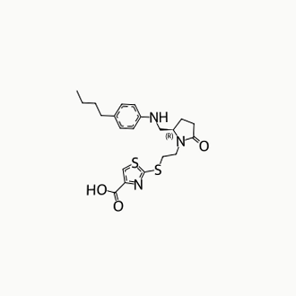 CCCCc1ccc(NC[C@H]2CCC(=O)N2CCSc2nc(C(=O)O)cs2)cc1